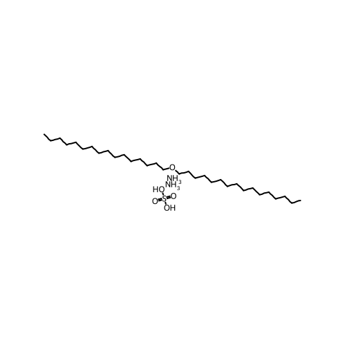 CCCCCCCCCCCCCCCCOCCCCCCCCCCCCCCCC.N.N.O=S(=O)(O)O